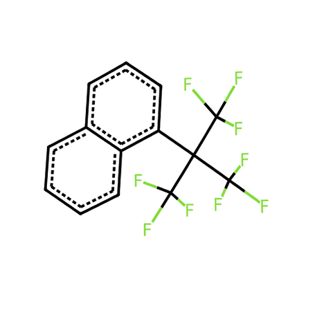 FC(F)(F)C(c1cccc2ccccc12)(C(F)(F)F)C(F)(F)F